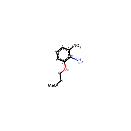 COCCOc1cccc([N+](=O)[O-])c1N